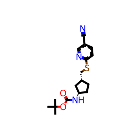 CC(C)(C)OC(=O)N[C@H]1CC[C@@H](CSc2ccc(C#N)cn2)C1